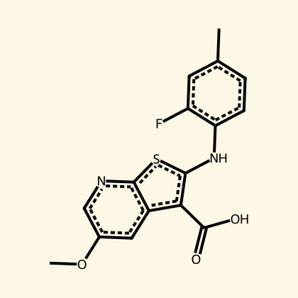 COc1cnc2sc(Nc3ccc(C)cc3F)c(C(=O)O)c2c1